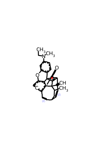 C#CC12C3=C4/C=C\C(/C=C\c5ccc6c(c51)C3(OC4=O)c1ccc(N(C)CC)cc1O6)CC2C